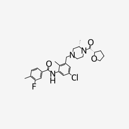 Cc1ccc(C(=O)Nc2cc(Cl)cc(CN3CCN(C(=O)[C@@H]4CCCO4)[C@@H](C)C3)c2C)cc1F